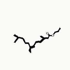 CCCOC(=O)/C=C(C)/C=C/CC(C)CCCC(C)C